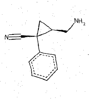 N#C[C@@]1(c2ccccc2)C[C@H]1CN